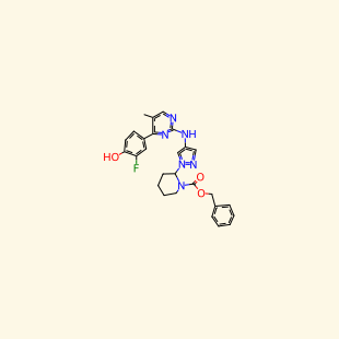 Cc1cnc(Nc2cnn(C3CCCCN3C(=O)OCc3ccccc3)c2)nc1-c1ccc(O)c(F)c1